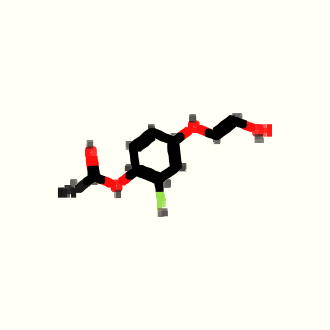 CCCC(=O)Oc1ccc(OC=CO)cc1F